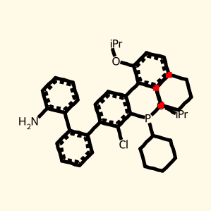 CC(C)Oc1cccc(OC(C)C)c1-c1ccc(-c2ccccc2-c2ccccc2N)c(Cl)c1P(C1CCCCC1)C1CCCCC1